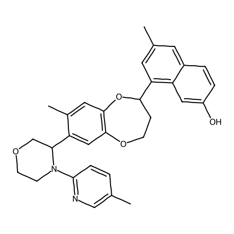 Cc1ccc(N2CCOCC2c2cc3c(cc2C)OC(c2cc(C)cc4ccc(O)cc24)CCO3)nc1